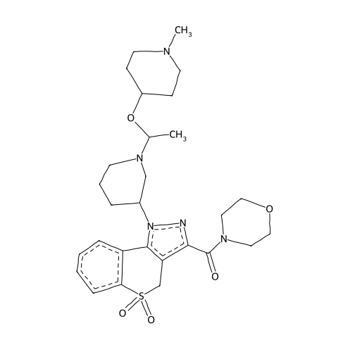 CC(OC1CCN(C)CC1)N1CCCC(n2nc(C(=O)N3CCOCC3)c3c2-c2ccccc2S(=O)(=O)C3)C1